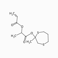 C=CC(=O)OC(C)C(=O)OC1(C)CSCCCS1